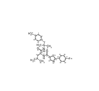 Cc1ccc(CC(C)(C)NC(=O)[C@H](CC(C)C)NC(=O)c2cnc(-c3ccc(F)cc3)s2)cc1